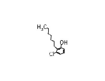 CCCCCCCc1c(O)cccc1Cl